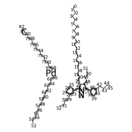 CCCCCCCCCCCCCCCCCCCCC=CC1=C(c2cccc(CCCC)c2)[N+](=[N-])C(c2cccc(CCCC)c2)=C1CCCC.CCCCCCCCCCCCCC[CH2][Pd][CH2]CCCCCCCCCCCCCC